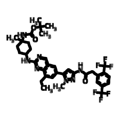 CCc1cc(-c2cc(NC(=O)Cc3cc(C(F)(F)F)ccc3C(F)(F)F)nn2C)cc2cnc(NC3CCC(C)(NC(=O)OC(C)(C)C)CC3)nc12